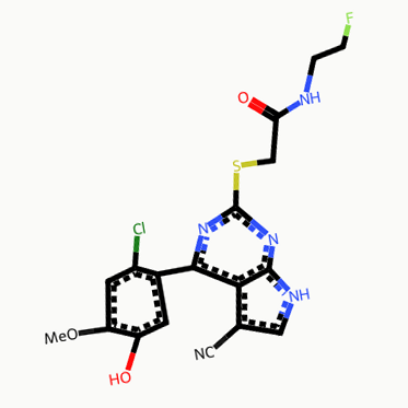 COc1cc(Cl)c(-c2nc(SCC(=O)NCCF)nc3[nH]cc(C#N)c23)cc1O